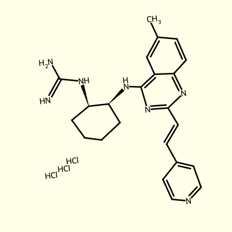 Cc1ccc2nc(C=Cc3ccncc3)nc(N[C@H]3CCCC[C@H]3NC(=N)N)c2c1.Cl.Cl.Cl